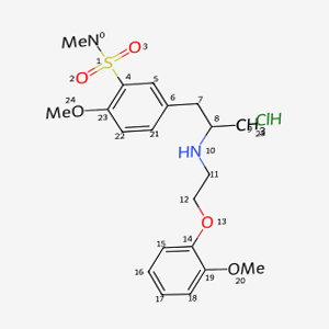 CNS(=O)(=O)c1cc(CC(C)NCCOc2ccccc2OC)ccc1OC.Cl